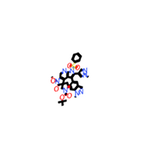 CON1C(=O)C2(CCN(C(=O)OC(C)(C)C)C2)c2c1cnc1c2c(-c2ccc3c(cnn3C)c2)c(-c2cnn(C)c2)n1S(=O)(=O)c1ccccc1